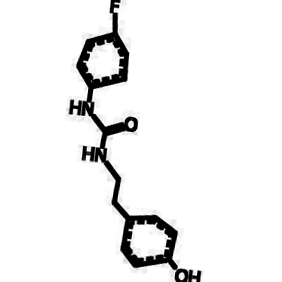 O=C(NCCc1ccc(O)cc1)Nc1ccc(F)cc1